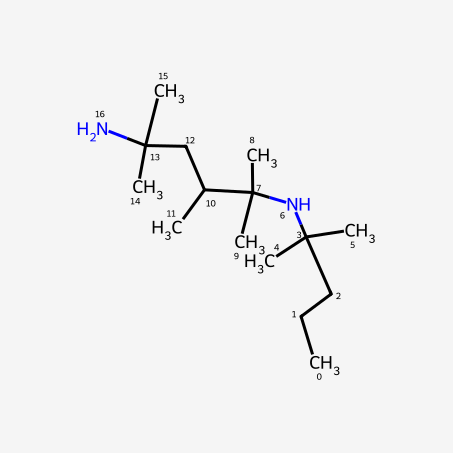 CCCC(C)(C)NC(C)(C)C(C)CC(C)(C)N